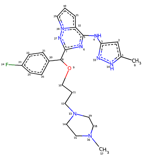 Cc1cc(Nc2nc(C(OCCCN3CCN(C)CC3)c3ccc(F)cc3)nn3cccc23)n[nH]1